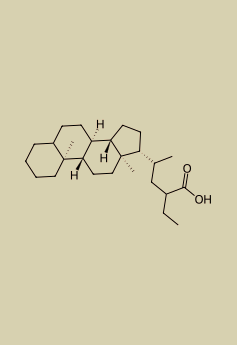 CCC(CC(C)[C@H]1CC[C@H]2[C@@H]3CCC4CCCC[C@]4(C)[C@H]3CC[C@]12C)C(=O)O